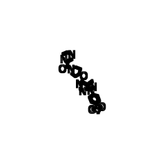 CS(=O)(=O)c1ccc(-n2ncc3c(OC4CCN(C(=O)c5cnccn5)CC4)ncnc32)cc1